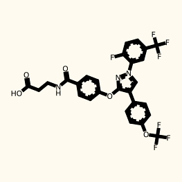 O=C(O)CCNC(=O)c1ccc(Oc2nn(-c3cc(C(F)(F)F)ccc3F)cc2-c2ccc(OC(F)(F)F)cc2)cc1